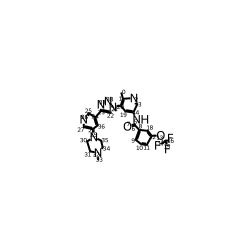 Cc1ncc(NC(=O)c2cccc(OC(F)(F)F)c2)cc1-n1cc(-c2cncc(N3CCN(C)CC3)c2)nn1